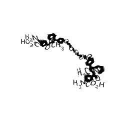 Cc1c(-c2ccc(OCCOCCOCCOCCOc3ccc(-c4c(C)c(C(=O)c5ccc(N)c(C(=O)O)c5)n5ccccc45)cc3)cc2)c2ccccn2c1C(=O)c1ccc(N)c(C(=O)O)c1